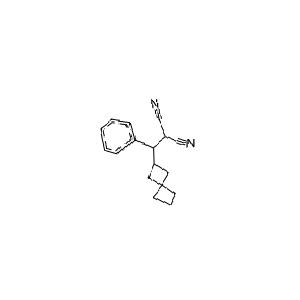 N#CC(C#N)C(c1ccccc1)C1CC2(CCC2)C1